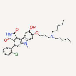 CCCCCN(CCCCC)CCCOc1cc2c(cc1O)c1c3c(c(-c4ccccc4Cl)cc1n2C)C(=O)NC3=O